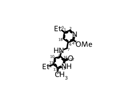 CCc1cnc(OC)c(CNc2cc(CC)c(C)[nH]c2=O)c1